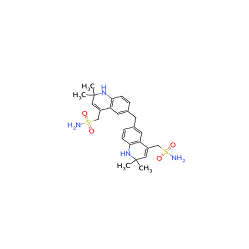 CC1(C)C=C(CS(N)(=O)=O)c2cc(Cc3ccc4c(c3)C(CS(N)(=O)=O)=CC(C)(C)N4)ccc2N1